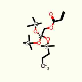 C=CC(=O)OC[Si](O[Si](C)(C)C)(O[Si](C)(C)C)O[Si](C)(C)CCC(F)(F)F